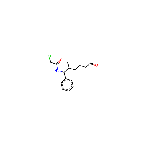 CC(CCCC=O)C(NC(=O)CCl)c1ccccc1